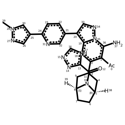 CC(=O)c1c(C2C[C@H]3CC[C@@H](C2)N3C(=O)c2nnc[nH]2)nc2c(-c3ccc(-c4cnn(C)c4)nc3)cnn2c1N